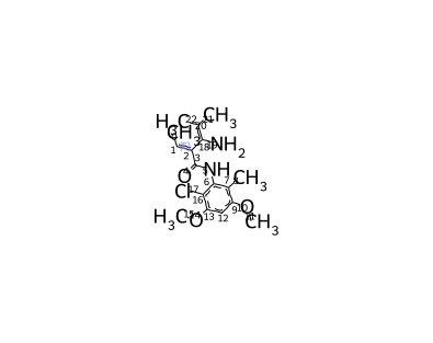 C/C=C(/C(=O)Nc1c(C)c(OC)cc(OC)c1Cl)C(N)=C(C)C